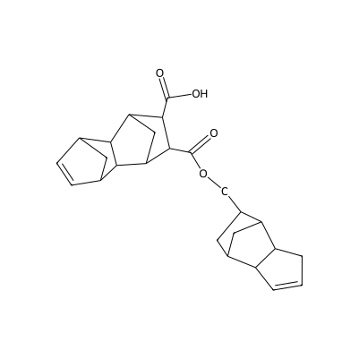 O=C(O)C1C2CC(C1C(=O)OCC1CC3CC1C1CC=CC31)C1C3C=CC(C3)C21